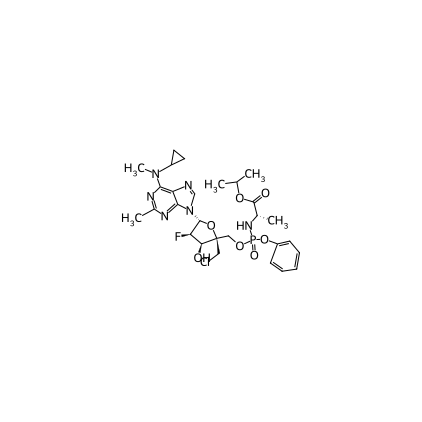 Cc1nc(N(C)C2CC2)c2ncn([C@@H]3O[C@](CCl)(COP(=O)(N[C@@H](C)C(=O)OC(C)C)Oc4ccccc4)[C@@H](O)[C@H]3F)c2n1